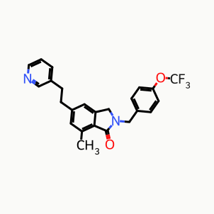 Cc1cc(CCc2cccnc2)cc2c1C(=O)N(Cc1ccc(OC(F)(F)F)cc1)C2